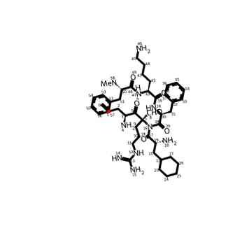 C=CC[C@H](N)C(=O)[C@@]([C]=O)(CCCNC(=N)N)N(C(=O)[C@H](N)CC1CCCCC1)C(=O)[C@H](Cc1ccccc1)NC(=O)[C@H](CCCCN)NC(=O)[C@H](Cc1ccccc1)NC